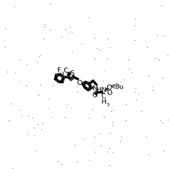 C[C@H](NC(=O)OC(C)(C)C)C(=O)N1CCc2cc(OCc3cc(-c4ccccc4)c(C(F)(F)F)s3)ccc21